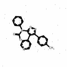 CCC(=O)N(c1ccccc1)c1onc(-c2ccc(C)cc2)c1-c1ccncc1